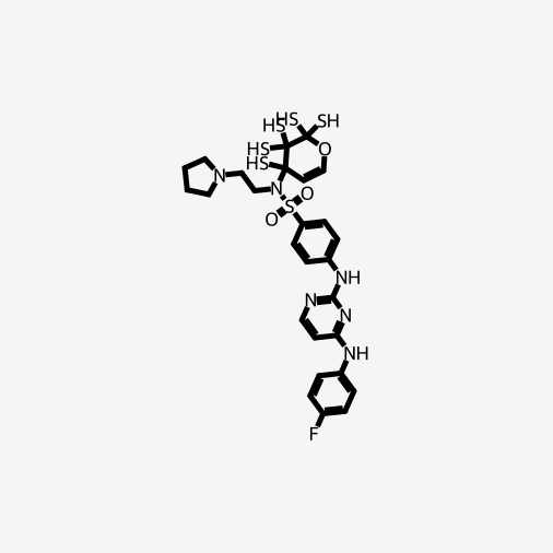 O=S(=O)(c1ccc(Nc2nccc(Nc3ccc(F)cc3)n2)cc1)N(CCN1CCCC1)C1(S)C=COC(S)(S)C1(S)S